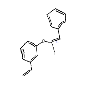 C=Cc1cccc(O/C(F)=C\c2ccccc2)c1